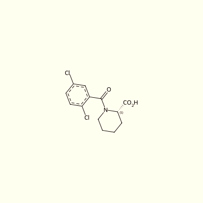 O=C(O)[C@@H]1CCCCN1C(=O)c1cc(Cl)ccc1Cl